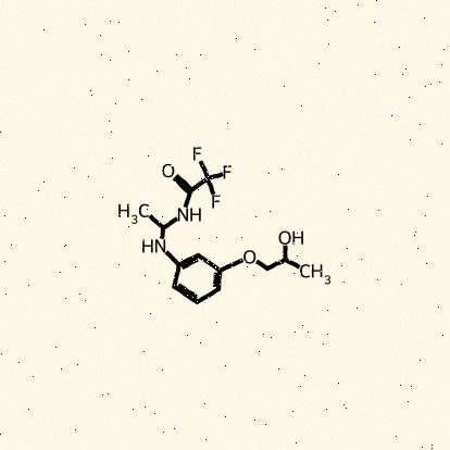 CC(O)COc1cccc(NC(C)NC(=O)C(F)(F)F)c1